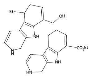 CCC1CC=C(CO)c2[nH]c3c(c21)C=CNC3.CCOC(=O)C1=CCCc2c1[nH]c1c2C=CNC1